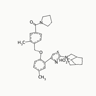 Cc1ccc(OCc2ccc(C(=O)N3CCCC3)cc2C)c(-c2csc(N3CC4CCC(C3)C4C(=O)O)n2)c1